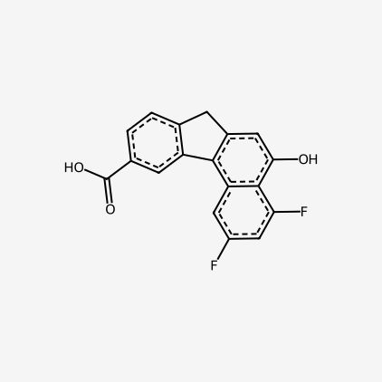 O=C(O)c1ccc2c(c1)-c1c(cc(O)c3c(F)cc(F)cc13)C2